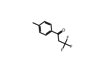 Cc1ccc(C(=O)CC(F)(F)F)cc1